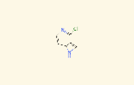 ClC1=NC=CC2NC=C12